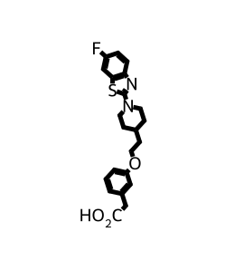 O=C(O)Cc1cccc(OCCC2CCN(c3nc4ccc(F)cc4s3)CC2)c1